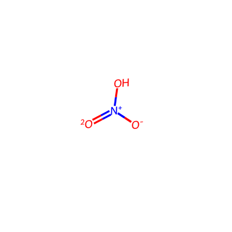 [O-][N+](O)=[2O]